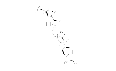 CC(C)CN(C)c1ccc(S(=O)(=O)C23CC4CC(NC(=O)c5cc(C6CC6)on5)CC(C2)N43)cn1